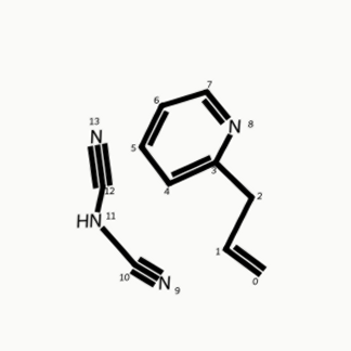 C=CCc1ccccn1.N#CNC#N